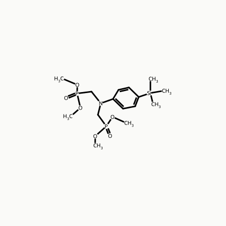 COP(=O)(CN(CP(=O)(OC)OC)c1ccc([Si](C)(C)C)cc1)OC